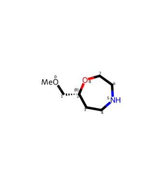 COC[C@H]1CCNCCO1